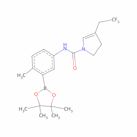 Cc1ccc(NC(=O)N2C=C(CC(F)(F)F)CC2)cc1B1OC(C)(C)C(C)(C)O1